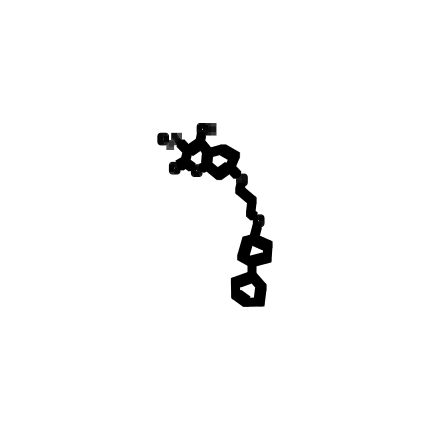 O=c1oc2cc(OCCCOc3ccc(-c4ccccc4)cc3)ccc2c(O)c1[N+](=O)[O-]